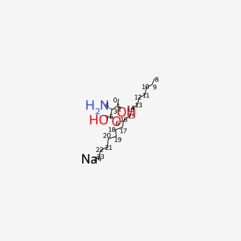 CC(O)C(N)C(=O)O.CCCCCCCCCCCCCCC[CH2][Na]